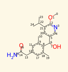 COc1ncc(C(O)c2c(C)cc(CC(N)=O)cc2C)cc1C(C)C